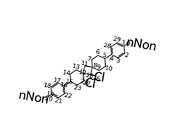 CCCCCCCCCc1ccc(C2CCC3(CC2)CC2(CCC(c4ccc(CCCCCCCCC)cc4)CC2)C3(Cl)Cl)cc1